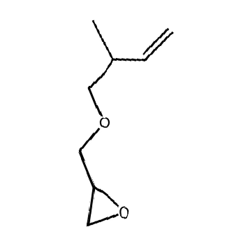 C=CC(C)COCC1CO1